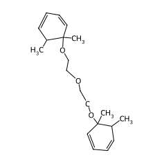 CC1C=CC=CC1(C)OCCOCCOC1(C)C=CC=CC1C